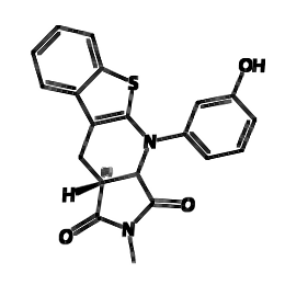 CN1C(=O)C2[C@@H](Cc3c(sc4ccccc34)N2c2cccc(O)c2)C1=O